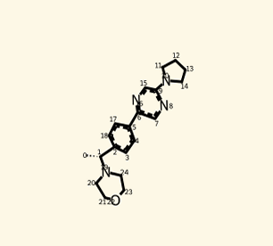 C[C@H](c1ccc(-c2cnc(N3CCCC3)cn2)cc1)N1CCOCC1